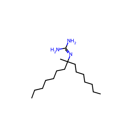 CCCCCCCC(C)(CCCCCCC)N=C(N)N